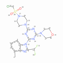 Cc1cccc2c1nc(C(F)F)n2-c1nc(N2CCOCC2)nc(N2CCN(S(=O)(=O)CCl)CC2)n1